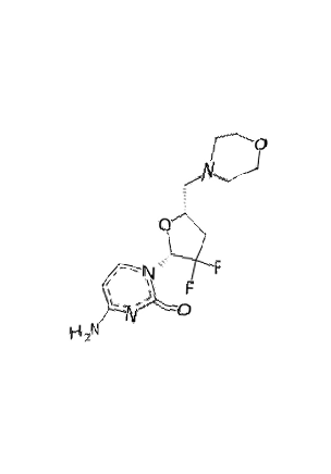 Nc1ccn([C@@H]2O[C@H](CN3CCOCC3)CC2(F)F)c(=O)n1